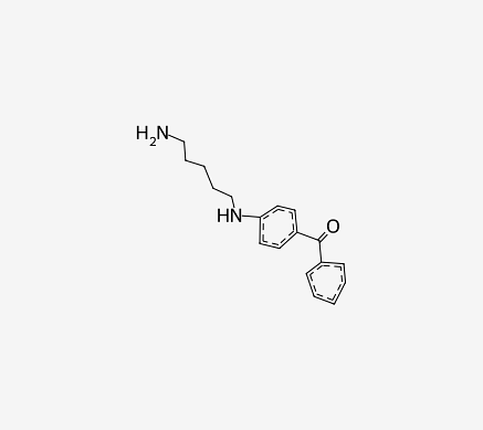 NCCCCCNc1ccc(C(=O)c2ccccc2)cc1